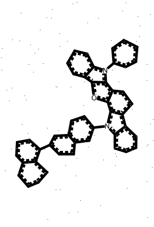 c1ccc(-n2c3ccccc3c3oc4c(ccc5c6ccccc6n(-c6ccc7cc(-c8cccc9ccccc89)ccc7c6)c54)c32)cc1